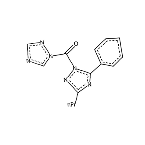 CCCc1nc(-c2ccccc2)n(C(=O)n2cncn2)n1